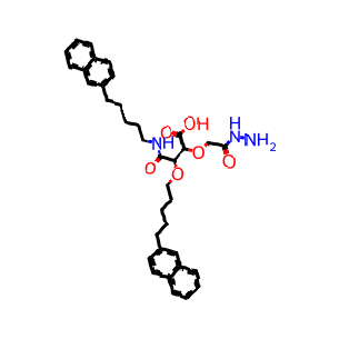 NNC(=O)COC(C(=O)O)C(OCCCCCc1ccc2ccccc2c1)C(=O)NCCCCCc1ccc2ccccc2c1